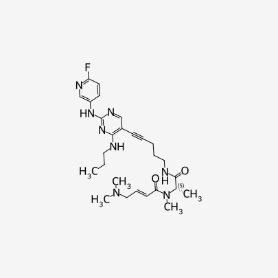 CCCNc1nc(Nc2ccc(F)nc2)ncc1C#CCCCNC(=O)[C@H](C)N(C)C(=O)C=CCN(C)C